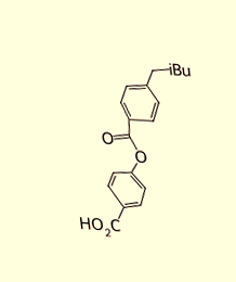 CCC(C)Cc1ccc(C(=O)Oc2ccc(C(=O)O)cc2)cc1